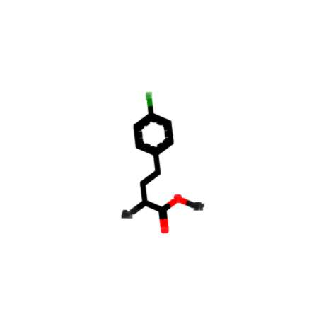 CC(=O)C(CCc1ccc(F)cc1)C(=O)OC(C)C